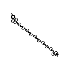 Cc1ccc(S(=O)(=O)OCCOCCOCCOCCOCCOCCOCCOCCOCCOCCC(=O)OC(C)(C)C)cc1